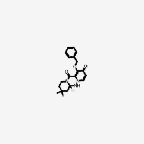 CC1(C)CCN2C(=O)c3c(OCc4ccccc4)c(=O)ccn3N[C@@H]2C1